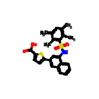 Cc1cc(C)c(C)c(S(=O)(=O)Nc2cc(-c3ccc(C(=O)O)s3)cc3ccccc23)c1C